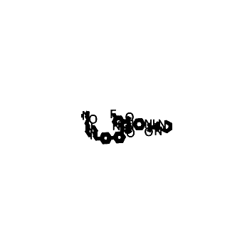 CN(C)C(=O)CN1CCN(Cc2ccc(-c3cccc(-n4c(=O)n(C5CCC(NC(=O)c6cn7c(n6)CCCC7)CC5)c(=O)c5cc(F)cnc54)c3)cc2)CC1